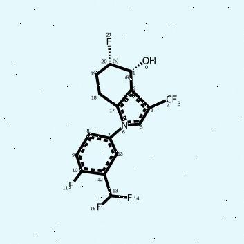 O[C@@H]1c2c(C(F)(F)F)cn(-c3ccc(F)c(C(F)F)c3)c2CC[C@@H]1F